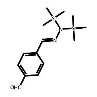 C[Si](C)(C)N(N=Cc1ccc(C=O)cc1)[Si](C)(C)C